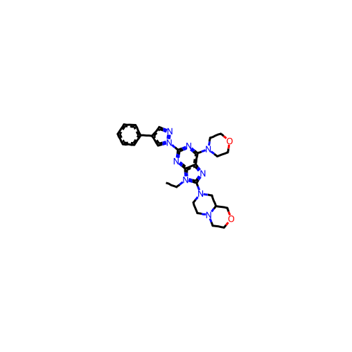 CCn1c(N2CCN3CCOCC3C2)nc2c(N3CCOCC3)nc(-n3cc(-c4ccccc4)cn3)nc21